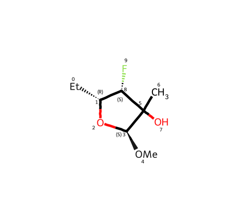 CC[C@H]1O[C@H](OC)C(C)(O)[C@H]1F